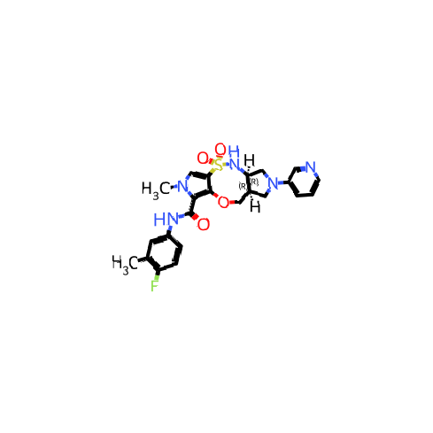 Cc1cc(NC(=O)c2c3c(cn2C)S(=O)(=O)N[C@H]2CN(c4cccnc4)C[C@H]2CO3)ccc1F